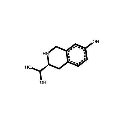 Oc1ccc2c(c1)CN[C@H](C(O)O)C2